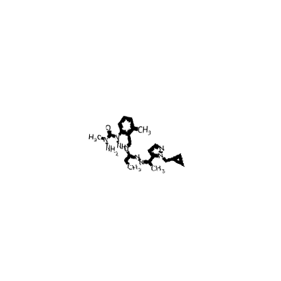 CCC(=NN=C(C)c1ccnn1CC1CC1)OCc1c(C)cccc1N(N)C(=O)N(C)N